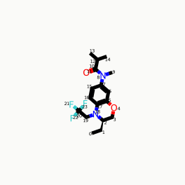 CC[C@@H]1COc2cc(N(C)C(=O)C(C)C)ccc2N1CC(F)(F)F